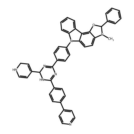 CN1c2ccc3c(c2OC1c1ccccc1)c1ccccc1n3-c1ccc(C2=NC(C3=CCNC=C3)NC(c3ccc(-c4ccncc4)cc3)=N2)cc1